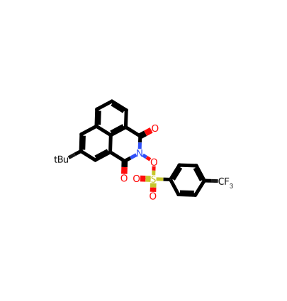 CC(C)(C)c1cc2c3c(cccc3c1)C(=O)N(OS(=O)(=O)c1ccc(C(F)(F)F)cc1)C2=O